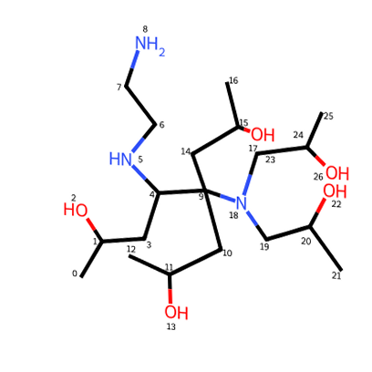 CC(O)CC(NCCN)C(CC(C)O)(CC(C)O)N(CC(C)O)CC(C)O